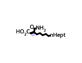 CCCCCCCCCCCC/C(=C/C(=O)O)C(N)=O